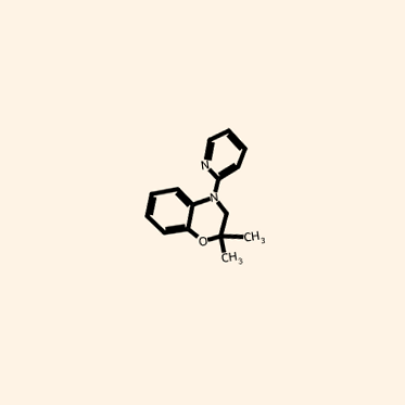 CC1(C)CN(c2ccccn2)c2ccccc2O1